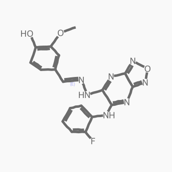 COc1cc(/C=N/Nc2nc3nonc3nc2Nc2ccccc2F)ccc1O